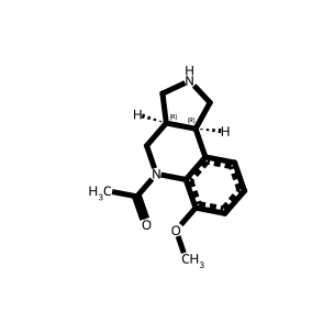 COc1cccc2c1N(C(C)=O)C[C@H]1CNC[C@@H]21